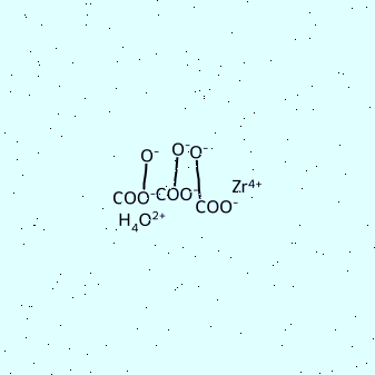 O=C([O-])[O-].O=C([O-])[O-].O=C([O-])[O-].[OH4+2].[Zr+4]